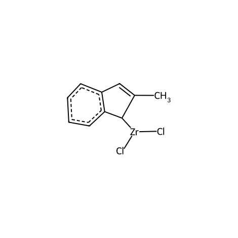 CC1=Cc2ccccc2[CH]1[Zr]([Cl])[Cl]